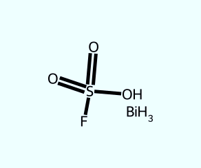 O=S(=O)(O)F.[BiH3]